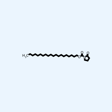 CCCCCCCCCCCCCCCCCCCCOC(=O)N1CCCC1=O